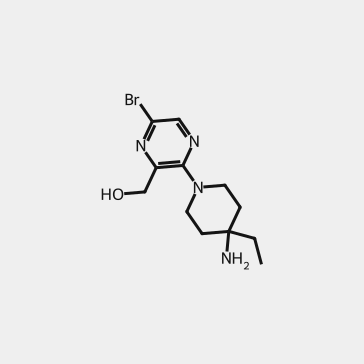 CCC1(N)CCN(c2ncc(Br)nc2CO)CC1